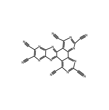 N#Cc1nc(C#N)c2c(n1)c1nc(C#N)nc(C#N)c1c1nc3nc(C#N)c(C#N)nc3nc12